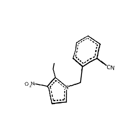 Cc1c([N+](=O)[O-])ccn1Cc1ccccc1C#N